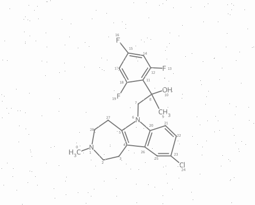 CN1CCc2c(n(CC(C)(O)c3c(F)cc(F)cc3F)c3ccc(Cl)cc23)CC1